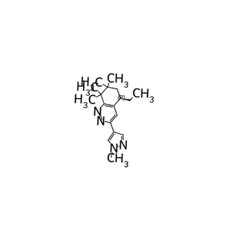 CC[C@@H]1CC(C)(C)C(C)(C)c2nnc(-c3cnn(C)c3)cc21